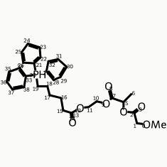 COCC(=O)OC(C)C(=O)OCCOC(=O)CCCCC[PH](c1ccccc1)(c1ccccc1)c1ccccc1